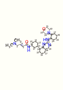 CN(C)C/C=C/C(=O)Nc1cccc(-c2cccc3cnc(Nc4ccccc4N4CCOCC4)nc23)c1